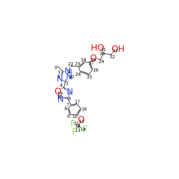 Cc1nc(-c2nc(-c3ccc(OC(F)(F)F)cc3)no2)nn1Cc1cccc(OCC(O)CO)c1